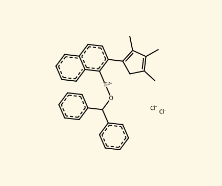 CC1=C(C)C(C)=C(c2ccc3ccccc3[c]2[Ti+2][O]C(c2ccccc2)c2ccccc2)C1.[Cl-].[Cl-]